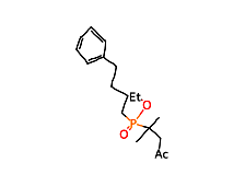 CCOP(=O)(CCCCc1ccccc1)C(C)(C)CC(C)=O